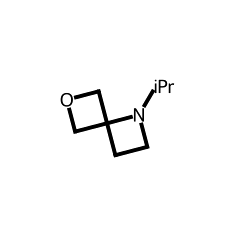 CC(C)N1CCC12COC2